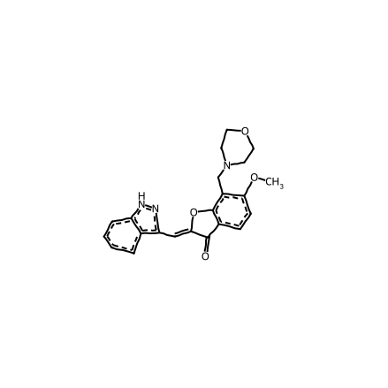 COc1ccc2c(c1CN1CCOCC1)OC(=Cc1n[nH]c3ccccc13)C2=O